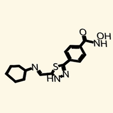 O=C(NO)c1ccc(C2=NNC(C=NC3CCCCC3)S2)cc1